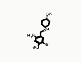 CC(C)(C)c1cc(N)c(CN[C@H]2CC[C@H](O)CC2)cc1Br